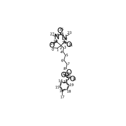 CCC1(CCCCCCOS(=O)(=O)c2ccc(C)cc2)C(=O)N(C)C(=O)N(C)C1=O